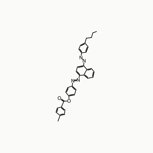 CCCCc1ccc(N=Nc2ccc(N=Nc3ccc(OC(=O)c4ccc(C)cc4)cc3)c3ccccc23)cc1